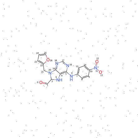 O=CC1Nc2c(Nc3ccc([N+](=O)[O-])cc3)ncnc2N1Cc1ccco1